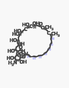 C[C@H]1/C=C/C=C/C=C/C=C/C=C/C=C/C=C/[C@H](O[C@@H]2OC[C@@H](O)[C@H](N)[C@@H]2O)C[C@@H]2O[C@](O)(C[C@@H](O)C[C@@H](O)[C@H](O)CC[C@@H](O)C[C@@H](O)CC(=O)O[C@@H](C)CC1)C[C@H](O)[C@H]2C(=O)O